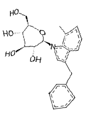 Cc1cccc2c(Cc3ccccc3)cn([C@@H]3O[C@H](CO)[C@@H](O)[C@H](O)[C@H]3O)c12